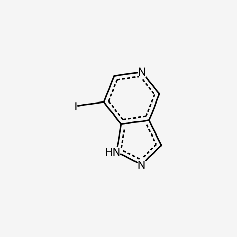 Ic1cncc2cn[nH]c12